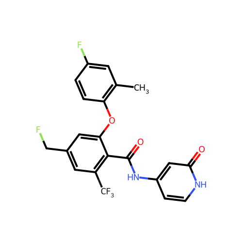 Cc1cc(F)ccc1Oc1cc(CF)cc(C(F)(F)F)c1C(=O)Nc1cc[nH]c(=O)c1